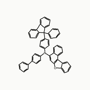 c1ccc(-c2ccc(N(c3ccc(C4(c5ccccc5)c5ccccc5-c5ccccc54)cc3)c3cc4oc5ccccc5c4c4ccccc34)cc2)cc1